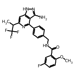 COc1ccc(F)cc1C(=O)NCc1ccc(-c2nc(C(C)C(F)(F)F)cc3[nH]nc(N)c23)cc1